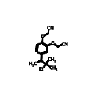 CCC(C)(C)C(C)c1ccc(OCC#N)c(OCC#N)c1